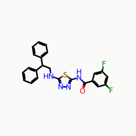 O=C(Nc1nnc(NCC(c2ccccc2)c2ccccc2)s1)c1cc(F)cc(F)c1